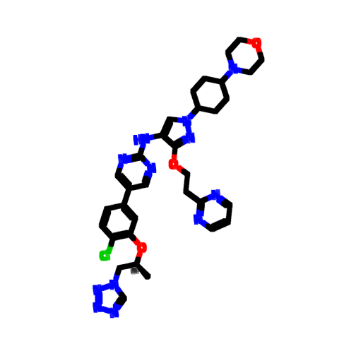 C[C@@H](Cn1cnnn1)Oc1cc(-c2cnc(Nc3cn(C4CCC(N5CCOCC5)CC4)nc3OCCc3ncccn3)nc2)ccc1Cl